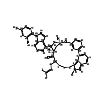 CC(C)=CCN1CCCc2c3c(cccc3nn2C)-c2cccc(c2)O[C@H]2C[C@@H](C1=O)N(c1ncnc3c1cnn3-c1ccc(F)cc1F)C2